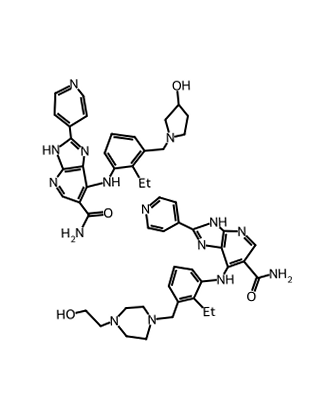 CCc1c(CN2CCC(O)C2)cccc1Nc1c(C(N)=O)cnc2[nH]c(-c3ccncc3)nc12.CCc1c(CN2CCN(CCO)CC2)cccc1Nc1c(C(N)=O)cnc2[nH]c(-c3ccncc3)nc12